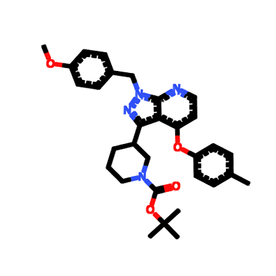 COc1ccc(Cn2nc(C3CCCN(C(=O)OC(C)(C)C)C3)c3c(Oc4ccc(C)cc4)ccnc32)cc1